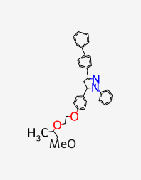 COCC(C)OCCOc1ccc(C2CC(c3ccc(-c4ccccc4)cc3)=NN2c2ccccc2)cc1